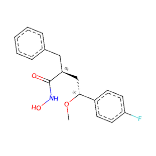 CO[C@H](C[C@H](Cc1ccccc1)C(=O)NO)c1ccc(F)cc1